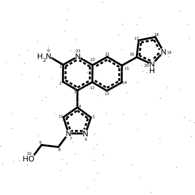 Nc1cc(-c2cnn(CCO)c2)c2ccc(-c3ccn[nH]3)cc2n1